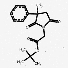 CC(C)(C)OC(=O)CN1C(=O)CC(C)(c2ccccc2)C1=O